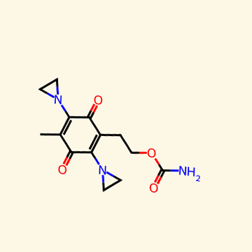 CC1=C(N2CC2)C(=O)C(CCOC(N)=O)=C(N2CC2)C1=O